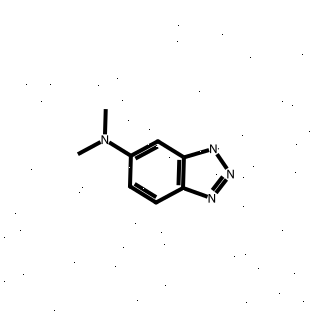 CN(C)c1ccc2c(c1)[N]N=N2